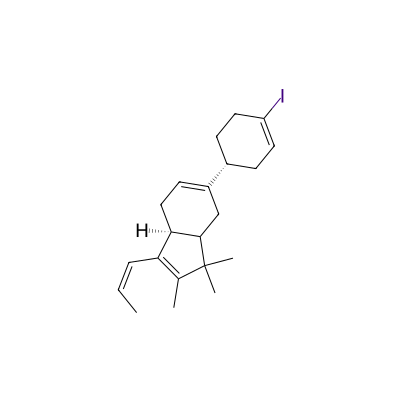 C/C=C\C1=C(C)C(C)(C)C2CC([C@H]3CC=C(I)CC3)=CC[C@H]12